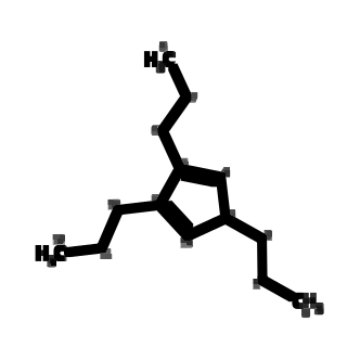 CCC[C]1C=C(CCC)C(CCC)=C1